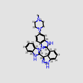 CN1CCN(c2ccc3nc(-c4cccc5[nH]nc(-c6nc7ccccc7[nH]6)c45)[nH]c3c2)CC1